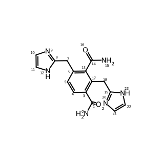 NC(=O)c1ccc(Cc2ncc[nH]2)c(C(N)=O)c1Cc1ncc[nH]1